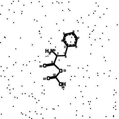 NC(Cc1ccccc1)C(=O)OC(=O)O